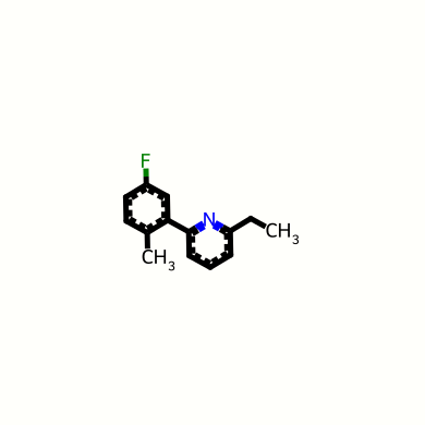 CCc1cccc(-c2cc(F)ccc2C)n1